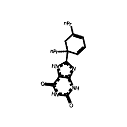 CCCC1=CC=CC(CCC)(c2nc3[nH]c(=O)[nH]c(=O)c3[nH]2)C1